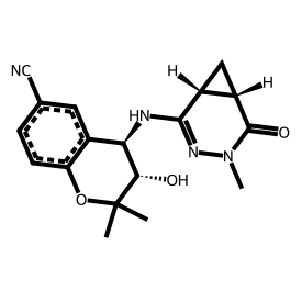 CN1N=C(N[C@@H]2c3cc(C#N)ccc3OC(C)(C)[C@H]2O)[C@@H]2C[C@@H]2C1=O